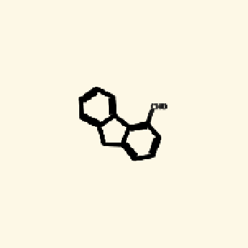 O=Cc1cccc2c1-c1ccccc1C2